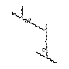 CCCCCCN(CCCCCC)CCOC(=O)CCCCCCCCCN(CCC)CCCCCCCCCC(=O)OCCN(CCCCCC)CCCCCC